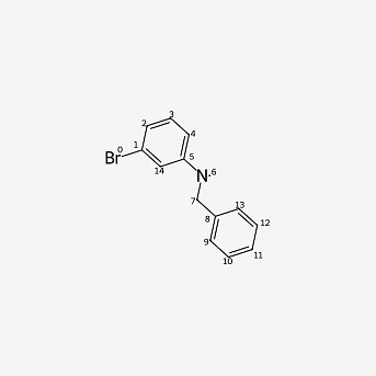 Brc1cccc([N]Cc2ccccc2)c1